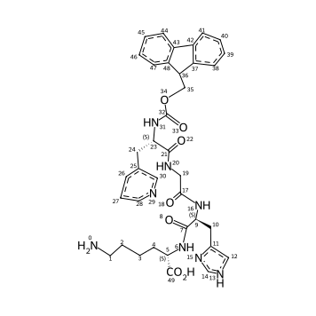 NCCCC[C@H](NC(=O)[C@H](Cc1c[nH]cn1)NC(=O)CNC(=O)[C@H](Cc1cccnc1)NC(=O)OCC1c2ccccc2-c2ccccc21)C(=O)O